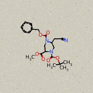 COC(=O)C1CN(C(=O)OCc2ccccc2)C(CC#N)CN1C(=O)OC(C)(C)C